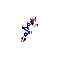 CCS(=O)(=O)N1CC(CC#N)(n2cc(-c3nc(Nc4ccc(N5CCOCC5)nc4)nc4ccsc34)cn2)C1